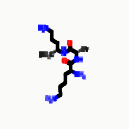 CC(C)[C@H](NC(=O)[C@@H](N)CCCCN)C(=O)N[C@@H](CCCN)C(=O)O